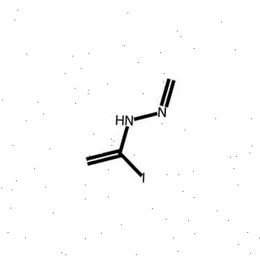 C=NNC(=C)I